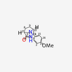 COc1ccc(N2C[C@@H]3CC[C@H]2CNC3=O)cc1